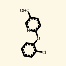 O=Cc1ccc(Oc2ccccc2Cl)nc1